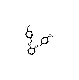 COc1ccc(COc2ccccc2OCc2ccc(OC)cc2)cc1